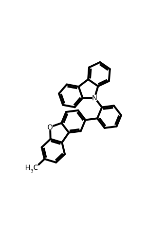 Cc1ccc2c(c1)oc1ccc(-c3ccccc3-n3c4ccccc4c4ccccc43)cc12